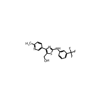 Cc1ccc(-c2nc(Nc3cccc(C(F)(F)F)c3)sc2CO)cn1